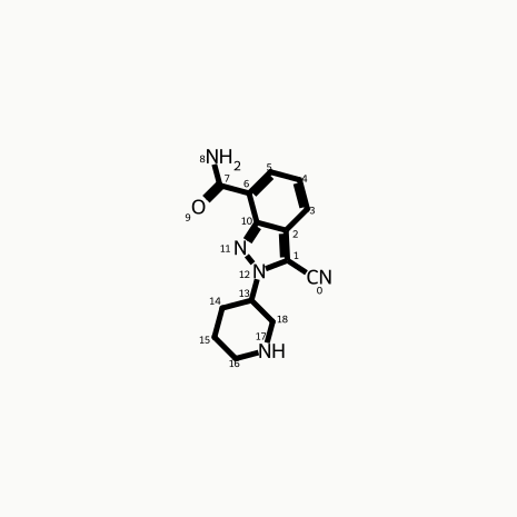 N#Cc1c2cccc(C(N)=O)c2nn1C1CCCNC1